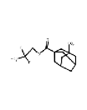 O=C(O)C12CC3CC(C1)CC(C(=O)OCC(F)(F)S(=O)(=O)O)(C3)C2